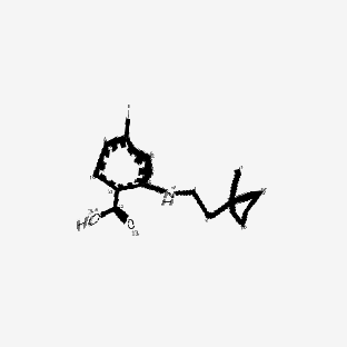 CC1(CCNc2cc(I)ccc2C(=O)O)CC1